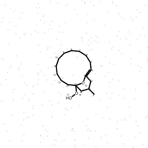 CC1C/C2=C\CCCCCCCCCCC(OO)(C1)O2